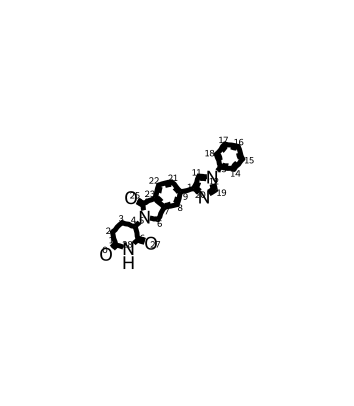 O=C1CCC(N2Cc3cc(-c4cn(-c5ccccc5)cn4)ccc3C2=O)C(=O)N1